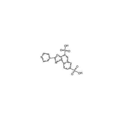 O=S(=O)(O)c1ccc2c(c1)cc(S(=O)(=O)O)c1oc(-c3ccncc3)nc12